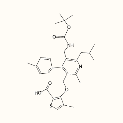 Cc1ccc(-c2c(COc3c(C)csc3C(=O)O)c(C)nc(CC(C)C)c2CNC(=O)OC(C)(C)C)cc1